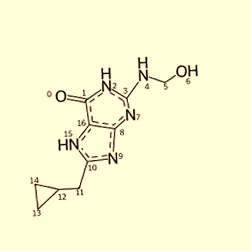 O=c1[nH]c(NCO)nc2nc(CC3CC3)[nH]c12